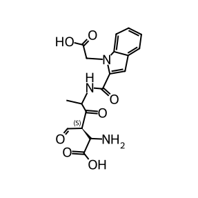 CC(NC(=O)c1cc2ccccc2n1CC(=O)O)C(=O)[C@H](C=O)C(N)C(=O)O